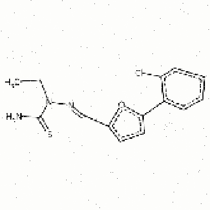 CCN(N=Cc1ccc(-c2ccccc2Cl)o1)C(N)=S